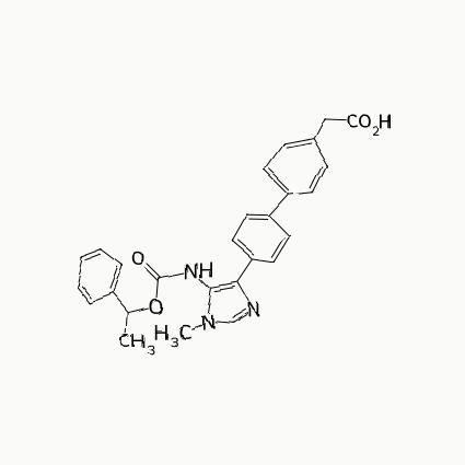 CC(OC(=O)Nc1c(-c2ccc(-c3ccc(CC(=O)O)cc3)cc2)ncn1C)c1ccccc1